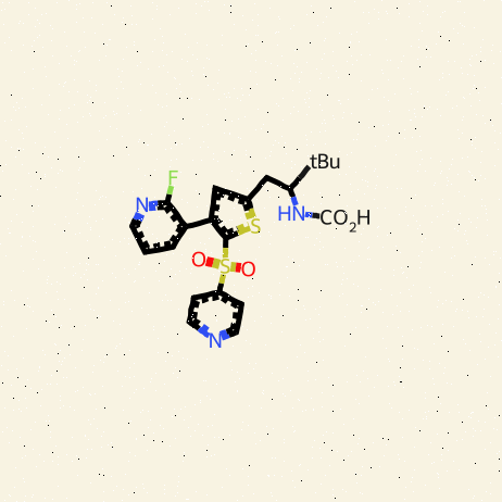 CC(C)(C)C(Cc1cc(-c2cccnc2F)c(S(=O)(=O)c2ccncc2)s1)NC(=O)O